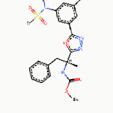 CC(C)S(=O)(=O)N(C)c1cc(C(=O)O)cc(-c2nnc([C@@](C)(Cc3ccccc3)NC(=O)OC(C)(C)C)o2)c1